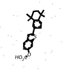 CC1(C)CCC(C)(C)c2cc(-c3cc4ccc(OC(=O)O)cc4s3)ccc21